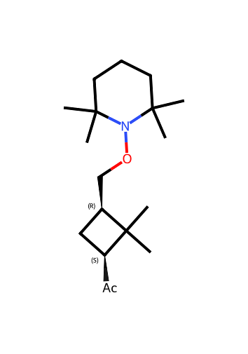 CC(=O)[C@H]1C[C@@H](CON2C(C)(C)CCCC2(C)C)C1(C)C